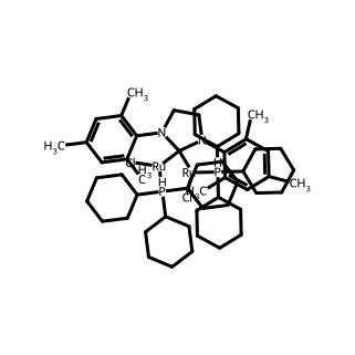 Cc1cc(C)c(N2CCN(c3c(C)cc(C)cc3C)[C]2([Ru]([Cl])[PH](C2CCCCC2)(C2CCCCC2)C2CCCCC2)[Ru]([Cl])[PH](C2CCCCC2)(C2CCCCC2)C2CCCCC2)c(C)c1